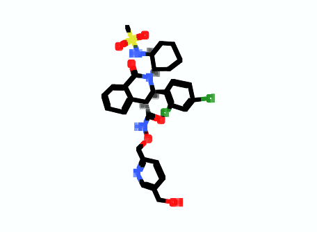 CS(=O)(=O)N[C@H]1CCCC[C@@H]1N1C(=O)c2ccccc2[C@@H](C(=O)NOCc2ccc(CO)cn2)[C@@H]1c1ccc(Cl)cc1Cl